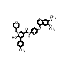 COc1cc2nccc(Oc3ccc(NC(=O)C4=CN(CC5CCOCC5)C(O)C(c5ccc(C)cc5)=C4)nc3)c2cc1OC